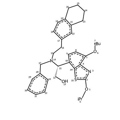 CC(C)Oc1nc2c(OC(C)(C)C)ccc([C@H](CO)N(CCc3ccc4c(c3)CCCC4)Cc3ccccc3)c2s1